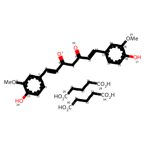 COc1cc(C=CC(=O)CC(=O)C=Cc2ccc(O)c(OC)c2)ccc1O.O=C(O)CCCC(=O)O.O=C(O)CCCC(=O)O